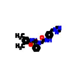 Cc1cc(C)cc(NS(=O)(=O)c2ccccc2NCC(=O)Nc2ccc(Cn3cncn3)cc2)c1